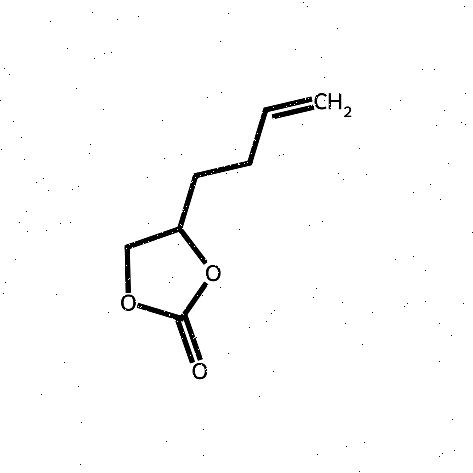 C=CCCC1COC(=O)O1